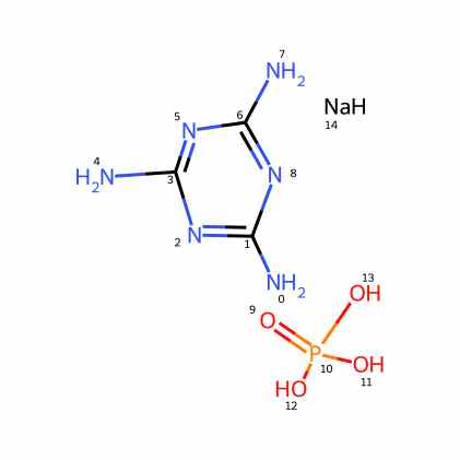 Nc1nc(N)nc(N)n1.O=P(O)(O)O.[NaH]